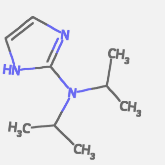 CC(C)N(c1ncc[nH]1)C(C)C